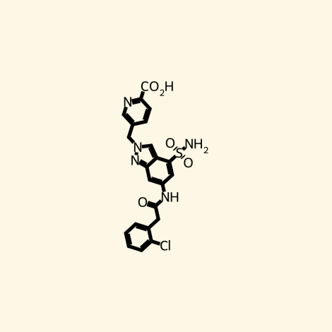 NS(=O)(=O)c1cc(NC(=O)Cc2ccccc2Cl)cc2nn(Cc3ccc(C(=O)O)nc3)cc12